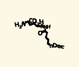 CCCCCCCCCCCCCCC(=O)N[C@@H](CCCCN)C(=O)O